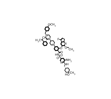 CCOc1nc2c(cc1Oc1cc(N3CCC(N4CCN(Cc5ccc(OC)cc5)C[C@H]4c4ccccc4C(C)C)CC3)ccc1C(=O)NS(=O)(=O)c1cnc(NC[C@H]3CC[C@](C)(O)CC3)c(N)c1)C(F)=CC2